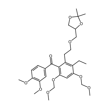 CCc1c(OCOC)cc(OCOC)c(C(=O)c2ccc(OC)c(OC)c2)c1CCOCC1COC(C)(C)O1